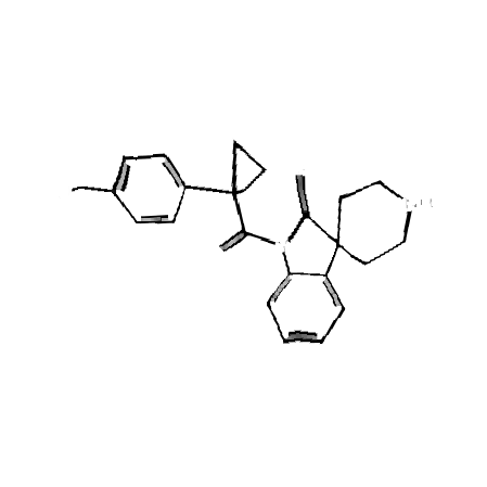 O=C(N1C(=O)C2(CCNCC2)c2ccccc21)C1(c2ccc(Cl)cc2)CC1